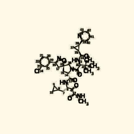 CNC(=O)C(=O)[C@H](CC1CC1)NC(=O)[C@@H]1C[C@]2(CC(c3cccc(Cl)c3)=NO2)CN1C(=O)[C@@H](NC(=O)[C@H]1C[C@H]1c1ccccn1)C(C)(C)C